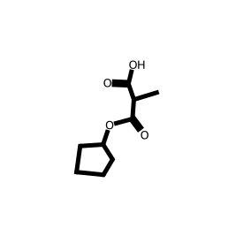 CC(C(=O)O)C(=O)OC1CCCC1